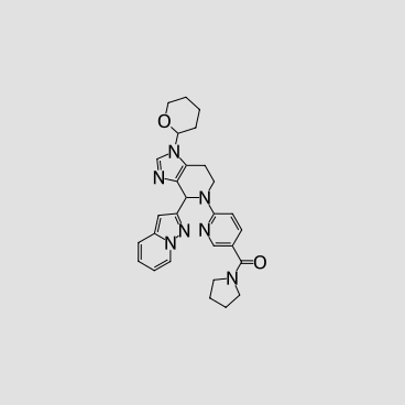 O=C(c1ccc(N2CCc3c(ncn3C3CCCCO3)C2c2cc3ccccn3n2)nc1)N1CCCC1